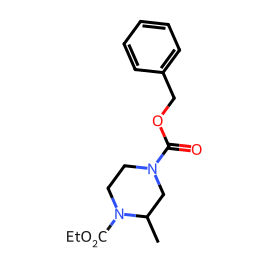 CCOC(=O)N1CCN(C(=O)OCc2ccccc2)CC1C